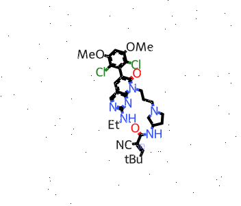 CCNc1ncc2cc(-c3c(Cl)c(OC)cc(OC)c3Cl)c(=O)n(CCCN3CCC(NC(=O)/C(C#N)=C/C(C)(C)C)C3)c2n1